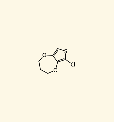 Clc1scc2c1OCCCO2